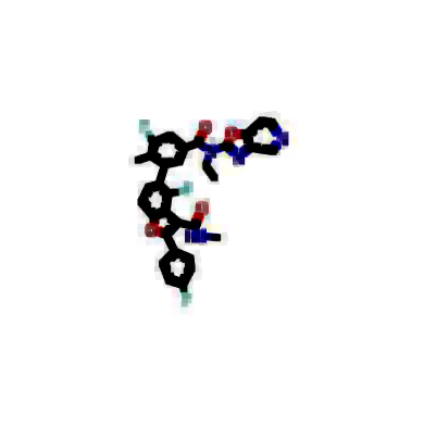 CCN(C(=O)c1cc(F)c(C)c(-c2ccc3oc(-c4ccc(F)cc4)c(C(=O)NC)c3c2F)c1)c1nc2cnccc2o1